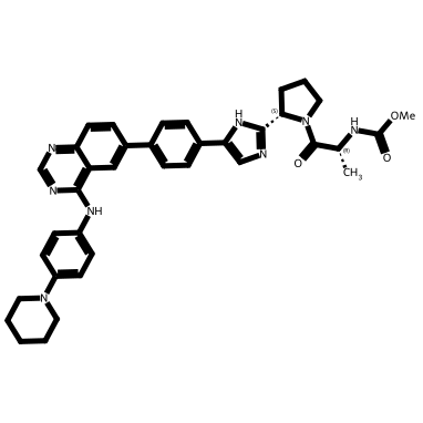 COC(=O)N[C@H](C)C(=O)N1CCC[C@H]1c1ncc(-c2ccc(-c3ccc4ncnc(Nc5ccc(N6CCCCC6)cc5)c4c3)cc2)[nH]1